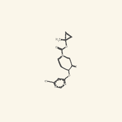 CC1(OC(=O)N2CCC(Oc3cc(Cl)ncn3)C(F)C2)CC1